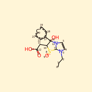 CCCN1C=CN2C1[S+]([O-])C(CC(=O)O)C2(O)c1ccccc1